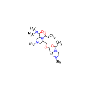 C=CC(=O)N1C(COCC[C@H]2CN(C(C)(C)C)CCN2C(=O)C=C)CN(C(C)(C)C)CC1C(=O)N(C)C